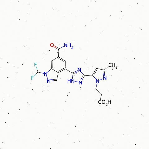 Cc1cc(-c2n[nH]c(-c3cc(C(N)=O)cc4c3cnn4C(F)F)n2)n(CCC(=O)O)n1